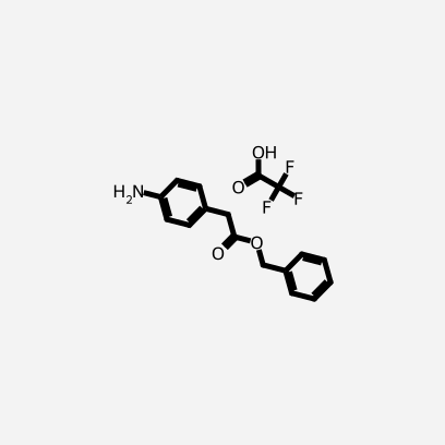 Nc1ccc(CC(=O)OCc2ccccc2)cc1.O=C(O)C(F)(F)F